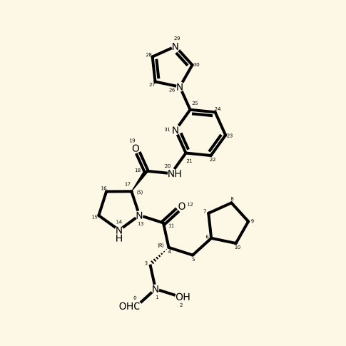 O=CN(O)C[C@@H](CC1CCCC1)C(=O)N1NCC[C@H]1C(=O)Nc1cccc(-n2ccnc2)n1